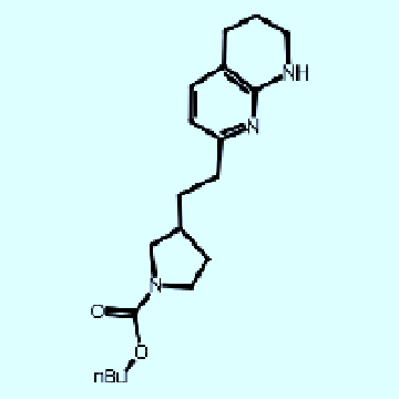 CCCCOC(=O)N1CCC(CCc2ccc3c(n2)NCCC3)C1